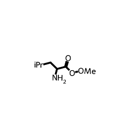 COOC(=O)C(N)CC(C)C